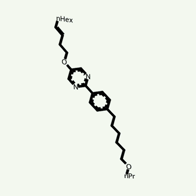 CCCCCCC=CCCOc1cnc(-c2ccc(CCCCCCOCCC)cc2)nc1